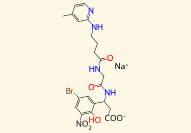 Cc1ccnc(NCCCC(=O)NCC(=O)NC(CC(=O)[O-])c2cc(Br)cc([N+](=O)[O-])c2O)c1.[Na+]